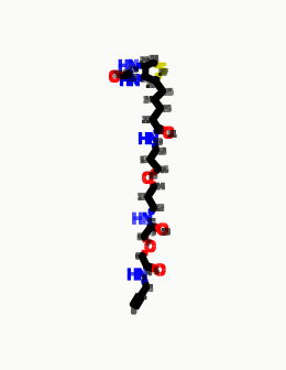 C#CCNC(=O)COCC(=O)NCCCOCCCNC(=O)CCCCC1SCC2NC(=O)NC21